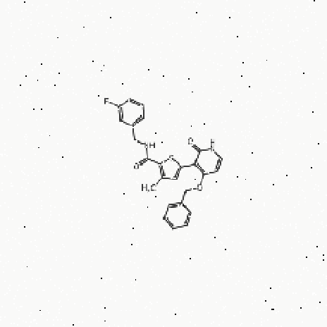 Cc1cc(-c2c(OCc3ccccc3)cc[nH]c2=O)sc1C(=O)NCc1cccc(F)c1